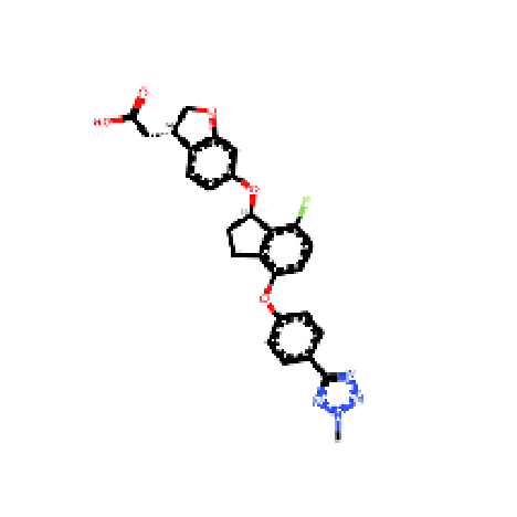 Cn1nnc(-c2ccc(Oc3ccc(F)c4c3CC[C@H]4Oc3ccc4c(c3)OC[C@H]4CC(=O)O)cc2)n1